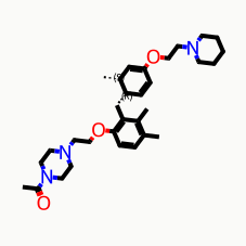 CC(=O)N1CCN(CCOc2ccc(C)c(C)c2C[C@H]2C=CC(OCCN3CCCCC3)=C[C@H]2C)CC1